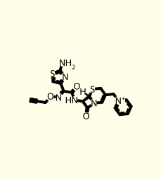 C#CCON=C(C(=O)NC1C(=O)N2C=C(C[n+]3ccccc3)CS[C@@H]12)c1csc(N)n1